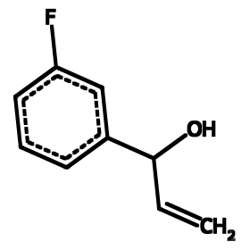 C=CC(O)c1cccc(F)c1